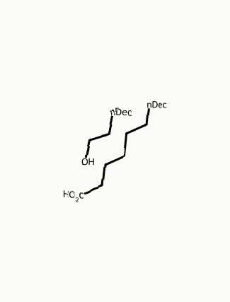 CCCCCCCCCCCCCCCC(=O)O.CCCCCCCCCCCCO